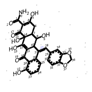 NC(=O)C1=C(O)CC2C(O)C3C(=C(O)C2(O)C1=O)C(=O)c1c(O)cccc1/C3=C\c1ccc2c(c1)OCO2